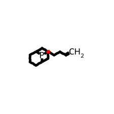 C=CCCCP1C2CCCC1CCC2